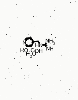 N=C(N)NCc1ccncc1.O.O=C(O)O